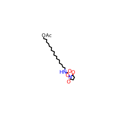 CC(=O)OCCCCCCCCCCCCCCCCNC(=O)ON1C(=O)CCC1=O